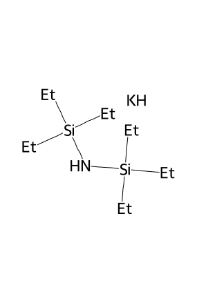 CC[Si](CC)(CC)N[Si](CC)(CC)CC.[KH]